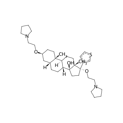 C[C@]12CC[C@H](OCCN3CCCC3)C[C@H]1CC[C@@H]1[C@@H]2CC[C@]2(C)[C@@](OCCN3CCCC3)(c3ccsc3)CC[C@]12O